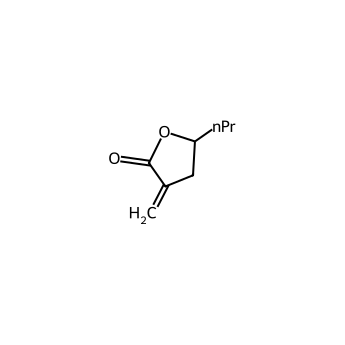 C=C1CC(CCC)OC1=O